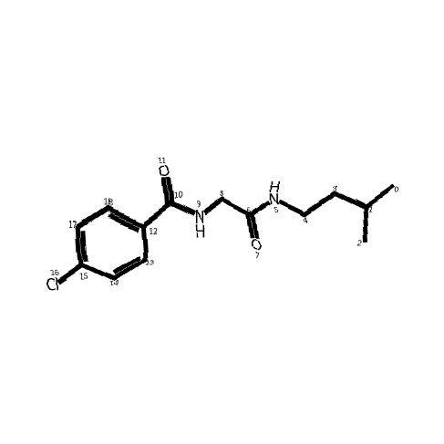 CC(C)CCNC(=O)CNC(=O)c1ccc(Cl)cc1